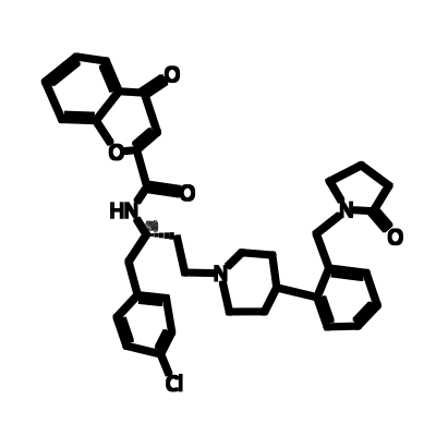 O=C(N[C@H](CCN1CCC(c2ccccc2CN2CCCC2=O)CC1)Cc1ccc(Cl)cc1)c1cc(=O)c2ccccc2o1